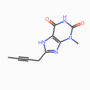 CC#CCc1nc2c([nH]1)c(=O)[nH]c(=O)n2C